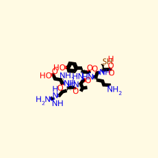 CC(C)[C@H](NC(=O)[C@H](CCCNC(=N)N)NC(=O)[C@H](N)CC(=O)O)C(=O)N[C@@H](Cc1ccc(O)cc1)C(=O)N[C@@H](CCCCN)C(=O)N[C@@H](CS)C(=O)O